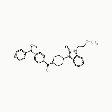 COCCn1c(=O)n(C2CCN(C(=O)c3ccc(N(C)c4ccncc4)cc3)CC2)c2ccccc21